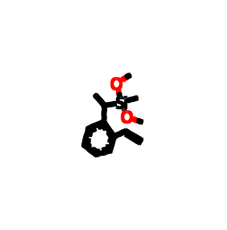 C=Cc1ccccc1C(C)[Si](C)(OC)OC